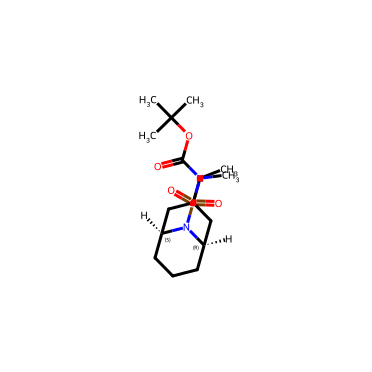 CCS(=O)(=O)N1[C@@H]2CCC[C@H]1CC(N(C)C(=O)OC(C)(C)C)C2